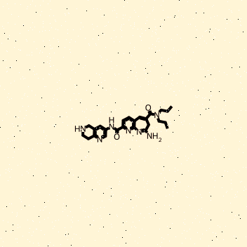 CCCN(CCC)C(=O)C1=Cc2ccc(C(=O)Nc3cnc4c(c3)CNCC4)nc2N=C(N)C1